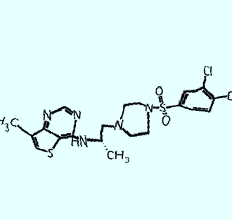 Cc1csc2c(N[C@@H](C)CN3CCN(S(=O)(=O)c4ccc(Cl)c(Cl)c4)CC3)ncnc12